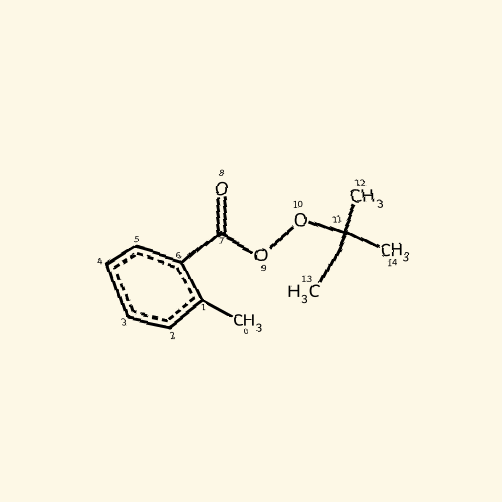 Cc1ccccc1C(=O)OOC(C)(C)C